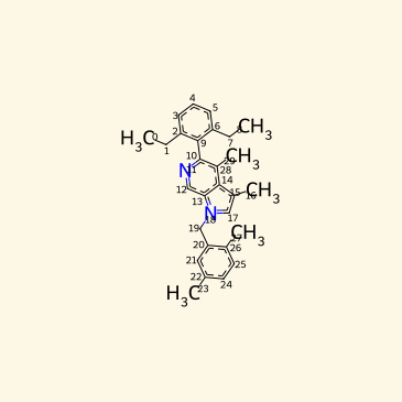 CCc1cccc(CC)c1-c1ncc2c(c(C)cn2Cc2cc(C)ccc2C)c1C